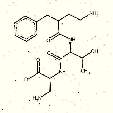 CCC(=O)[C@H](CN)NC(=O)[C@@H](NC(=O)C(CCN)Cc1ccccc1)C(C)O